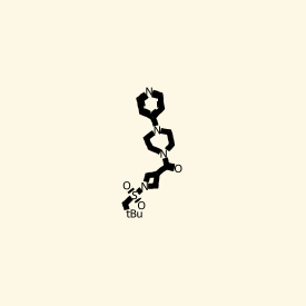 CC(C)(C)CS(=O)(=O)N1CC(C(=O)N2CCN(c3ccncc3)CC2)C1